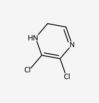 ClC1=C(Cl)NCC=N1